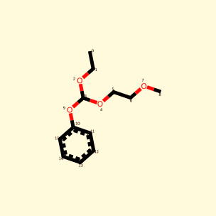 CCOC(OCCOC)Oc1cc[c]cc1